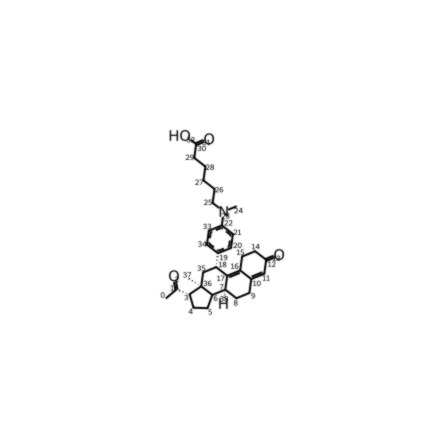 CC(=O)[C@H]1CCC2[C@@H]3CCC4=CC(=O)CCC4=C3[C@@H](c3ccc(N(C)CCCCCC(=O)O)cc3)C[C@@]21C